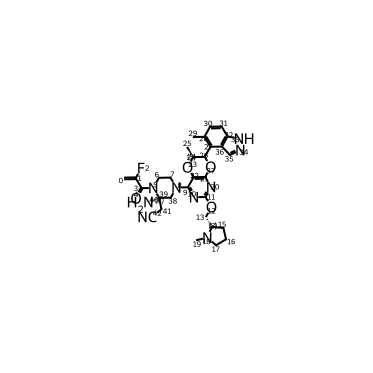 C=C(F)C(=O)N1CCN(c2nc(OC[C@@H]3CCCN3C)nc3c2O[C@@H](C)C(c2c(C)ccc4[nH]ncc24)O3)C[C@@]1(N)CC#N